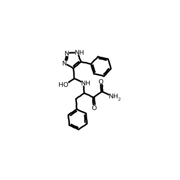 NC(=O)C(=O)C(Cc1ccccc1)NC(O)c1nn[nH]c1-c1ccccc1